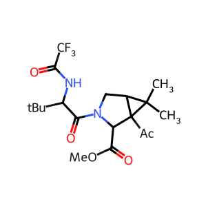 COC(=O)C1N(C(=O)C(NC(=O)C(F)(F)F)C(C)(C)C)CC2C(C)(C)C12C(C)=O